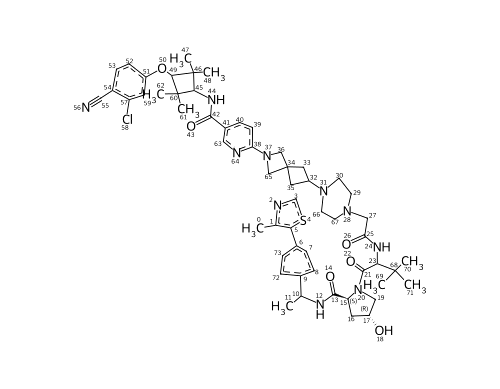 Cc1ncsc1-c1ccc(C(C)NC(=O)[C@@H]2C[C@@H](O)CN2C(=O)C(NC(=O)CN2CCN(C3CC4(C3)CN(c3ccc(C(=O)NC5C(C)(C)C(Oc6ccc(C#N)c(Cl)c6)C5(C)C)cn3)C4)CC2)C(C)(C)C)cc1